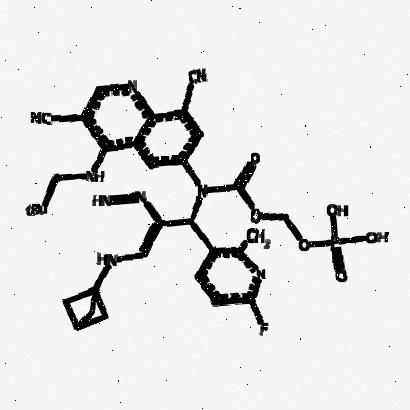 Cc1nc(F)ccc1[C@@H](/C(=C/NC12CC(C1)C2)N=N)N(C(=O)OCOP(=O)(O)O)c1cc(C#N)c2ncc(C#N)c(NCC(C)(C)C)c2c1